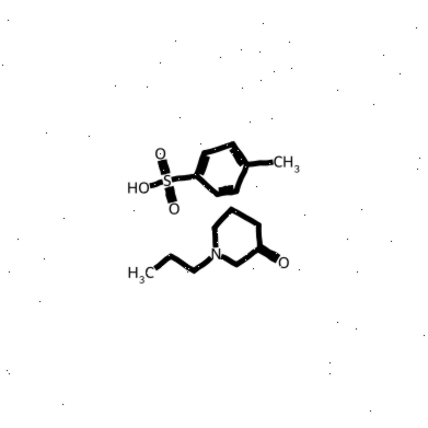 CCCN1CCCC(=O)C1.Cc1ccc(S(=O)(=O)O)cc1